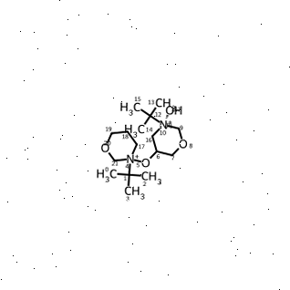 CC(C)(C)[N+]1(OC2COC[N@+](O)(C(C)(C)C)C2)CCCOC1